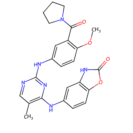 COc1ccc(Nc2ncc(C)c(Nc3ccc4oc(=O)[nH]c4c3)n2)cc1C(=O)N1CCCC1